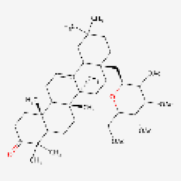 CC(=O)OCC1O[C@@H](C[C@]23CCC(C)(C)CC2C2=CCC4[C@@]5(C)CCC(=O)C(C)(C)C5CC[C@@]4(C)[C@]2(C)CC3)C(OC(C)=O)C(OC(C)=O)[C@@H]1OC(C)=O